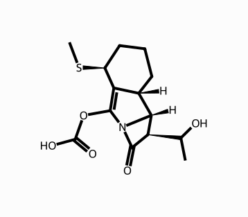 CS[C@H]1CCC[C@H]2C1=C(OC(=O)O)N1C(=O)[C@H](C(C)O)[C@@H]21